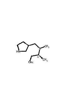 C[C@@H](CO)N(C)CC1CCNC1